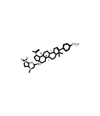 C=C(C)[C@@H]1CC[C@]2(NC(O)CN(C)C3CCS(=O)(=O)C3)CC[C@]3(C)[C@H](CCC4[C@@]5(C)CC=C(c6ccc(C(=O)O)cc6)C(C)(C)C5CC[C@]43C)C12